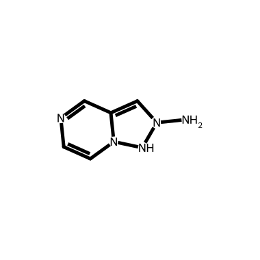 NN1C=C2C=NC=CN2N1